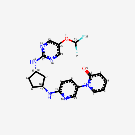 O=c1ccccn1-c1ccc(N[C@H]2CC[C@H](Nc3ncc(OC(F)F)cn3)C2)nc1